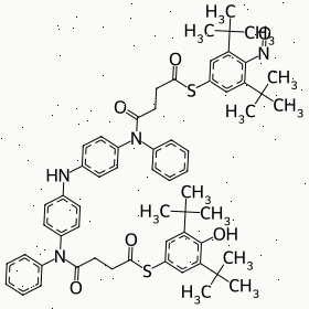 CC(C)(C)c1cc(SC(=O)CCC(=O)N(c2ccccc2)c2ccc(Nc3ccc(N(C(=O)CCC(=O)Sc4cc(C(C)(C)C)c(N=O)c(C(C)(C)C)c4)c4ccccc4)cc3)cc2)cc(C(C)(C)C)c1O